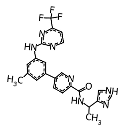 Cc1cc(Nc2nccc(C(F)(F)F)n2)cc(-c2ccc(C(=O)NC(C)c3c[nH]cn3)nc2)c1